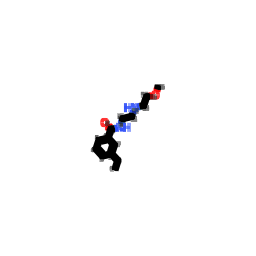 CCc1cccc(C(=O)NCCNCCOC)c1